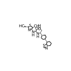 C#Cc1nc(NC(=O)NC(CO)c2ccc(-c3cccc4ncsc34)cc2)c(C)s1